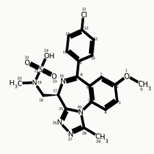 COc1ccc2c(c1)C(c1ccc(Cl)cc1)=N[C@H](CN(C)S(=O)(=O)O)c1nnc(C)n1-2